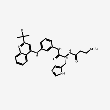 CC(=O)NCCC(=O)N[C@H](Cc1cnc[nH]1)C(=O)Nc1cccc(Nc2cc(C(C)(C)F)nc3ccccc23)c1